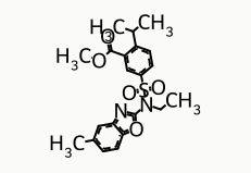 CCN(c1nc2cc(C)ccc2o1)S(=O)(=O)c1ccc(C(C)C)c(C(=O)OC)c1